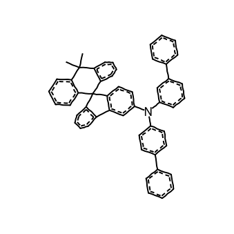 CC1(C)c2ccccc2C2(c3ccccc3-c3cc(N(c4ccc(-c5ccccc5)cc4)c4cccc(-c5ccccc5)c4)ccc32)c2ccccc21